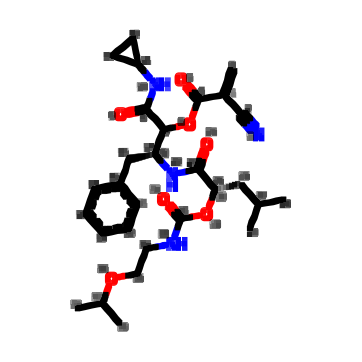 C=C(C#N)C(=O)OC(C(=O)NC1CC1)[C@H](Cc1ccccc1)NC(=O)[C@H](CC(C)C)OC(=O)NCCOC(C)C